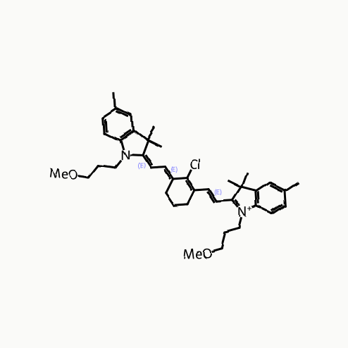 COCCCN1/C(=C/C=C2\CCCC(/C=C/C3=[N+](CCCOC)c4ccc(C)cc4C3(C)C)=C2Cl)C(C)(C)c2cc(C)ccc21